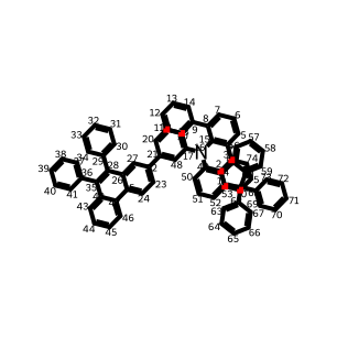 c1ccc(-c2cccc(-c3ccccc3)c2N(c2cccc(-c3ccc4c(c3)c(-c3ccccc3)c(-c3ccccc3)c3ccccc34)c2)c2cccc3c2-c2ccccc2C3(c2ccccc2)c2ccccc2)cc1